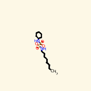 CCCCCCCCNS(=O)(=O)S(=O)(=O)NC1CCCCC1